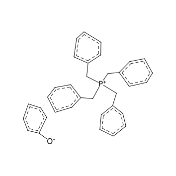 [O-]c1ccccc1.c1ccc(C[P+](Cc2ccccc2)(Cc2ccccc2)Cc2ccccc2)cc1